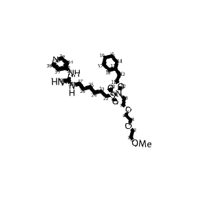 COCCOCCOCCN(OCCC1CCCCC1)S(=O)(=O)CCCCCCNC(=N)Nc1ccncc1